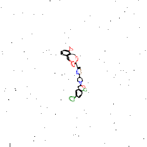 COc1cccc2c1COC(c1csc(C3CCN(C(=O)Cc4cc(Cl)ccc4Cl)CC3)n1)OC2